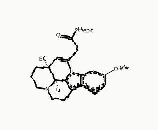 CCCCCCCC(=O)CC1=C[C@]2(CC)CCCN3CCc4c(n1c1cc(OC)ccc41)[C@@H]32